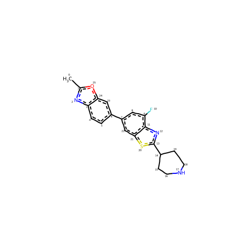 Cc1nc2ccc(-c3cc(F)c4nc(C5CCNCC5)sc4c3)cc2o1